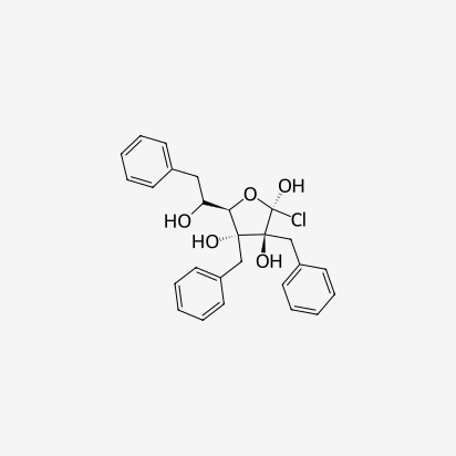 OC(Cc1ccccc1)[C@H]1O[C@@](O)(Cl)[C@](O)(Cc2ccccc2)[C@@]1(O)Cc1ccccc1